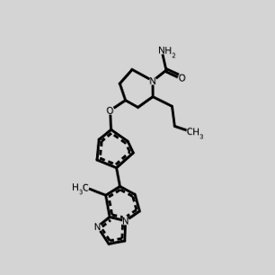 CCCC1CC(Oc2ccc(-c3ccn4ccnc4c3C)cc2)CCN1C(N)=O